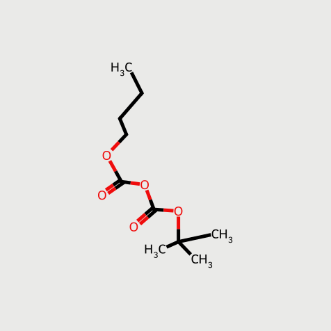 CCCCOC(=O)OC(=O)OC(C)(C)C